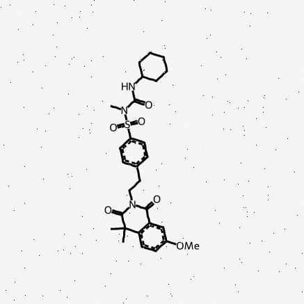 COc1ccc2c(c1)C(=O)N(CCc1ccc(S(=O)(=O)N(C)C(=O)NC3CCCCC3)cc1)C(=O)C2(C)C